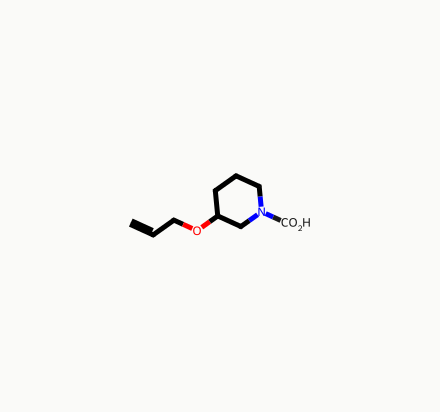 C=CCOC1CCCN(C(=O)O)C1